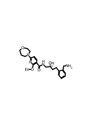 CCOc1nc(N2CCCOCC2)ccc1C(=O)NC[C@@H](O)CCc1ccccc1CN